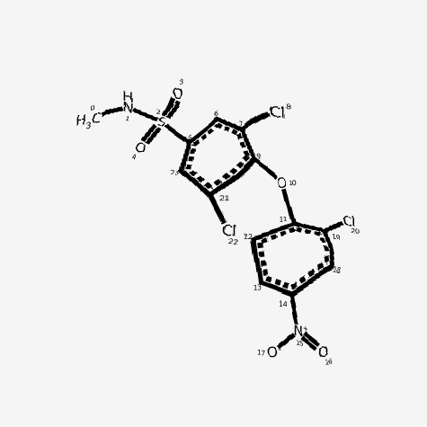 CNS(=O)(=O)c1cc(Cl)c(Oc2ccc([N+](=O)[O-])cc2Cl)c(Cl)c1